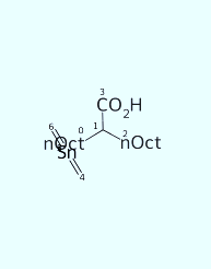 CCCCCCCCC(CCCCCCCC)C(=O)O.[CH2]=[Sn]=[CH2]